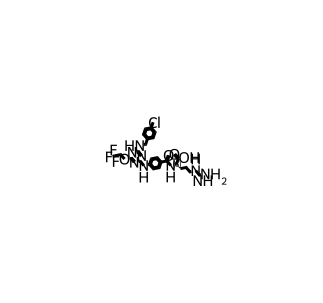 N=C(N)NCCC[C@H](NC(=O)c1ccc(Nc2nc(NCc3ccc(Cl)cc3)nc(OCC(F)(F)F)n2)cc1)C(=O)O